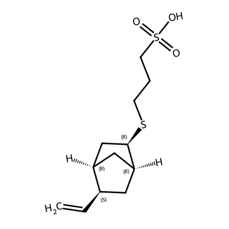 C=C[C@@H]1C[C@H]2C[C@@H]1C[C@H]2SCCCS(=O)(=O)O